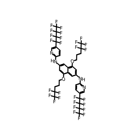 FC(F)(F)C(F)(F)CCCOc1cc(Nc2ccc(C(F)(F)C(F)(F)C(F)(F)C(F)(F)F)cn2)cc2c(OCCCC(F)(F)C(F)(F)F)cc(Nc3ccc(C(F)(F)C(F)(F)C(F)(F)C(F)(F)F)cn3)cc12